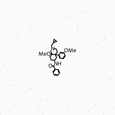 COc1cccc(C23CCN(CC4CC4)CC2(OC)CCC(NC(=O)c2ccccc2)C3)c1